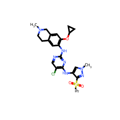 CC(C)S(=O)(=O)c1nn(C)cc1Nc1nc(Nc2cc3c(cc2OC2CC2)CN(C)CC3)ncc1Cl